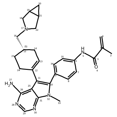 C=C(C)C(=O)Nc1ccc(-c2c(C3=CC[C@@H](CN4CC5CC5C4)CC3)c3c(N)ncnc3n2C)cc1